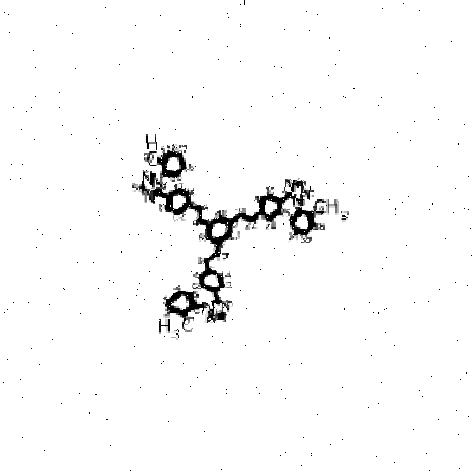 Cc1ccccc1-n1ncnc1-c1ccc(CCc2cc(CCc3ccc(-c4ncnn4-c4ccccc4C)cc3)cc(CCc3ccc(-c4ncnn4-c4ccccc4C)cc3)c2)cc1